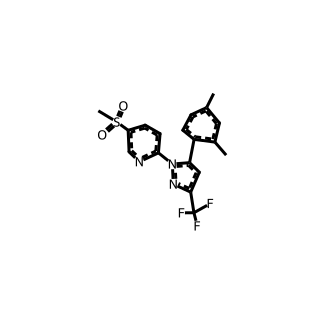 Cc1ccc(-c2cc(C(F)(F)F)nn2-c2ccc(S(C)(=O)=O)cn2)c(C)c1